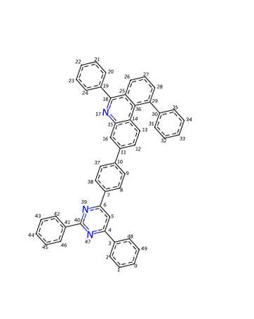 c1ccc(-c2cc(-c3ccc(-c4ccc5c(c4)nc(-c4ccccc4)c4cccc(-c6ccccc6)c45)cc3)nc(-c3ccccc3)n2)cc1